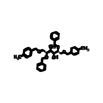 Cc1ccc(COC[C@@H](OCc2ccccc2)[C@@H](O)[C@H](O)[C@@H](COCc2ccc(C)cc2)OCc2ccccc2)cc1